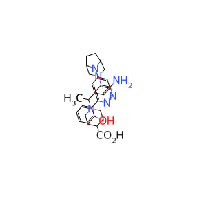 CC(c1cccc(N2C3CCC2CN(c2cc(-c4ccccc4O)nnc2N)C3)c1)N1CCC(C(=O)O)CC1